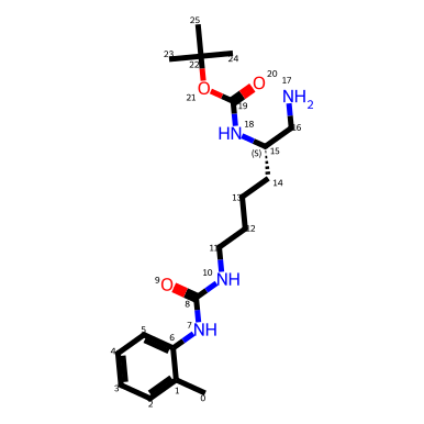 Cc1ccccc1NC(=O)NCCCC[C@@H](CN)NC(=O)OC(C)(C)C